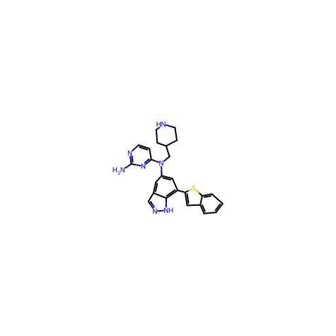 Nc1nccc(N(CC2CCNCC2)c2cc(-c3cc4ccccc4s3)c3[nH]ncc3c2)n1